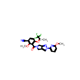 COc1cccc(-n2cc3c(n2)CN(C(=O)c2c(O[C@@H](C)C(F)(F)F)ccc(C#N)c2OC)C3)n1